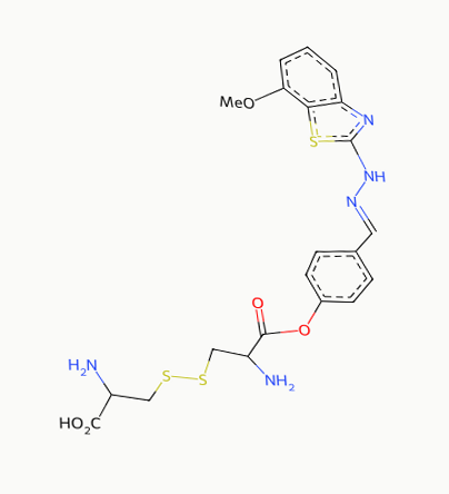 COc1cccc2nc(N/N=C/c3ccc(OC(=O)C(N)CSSCC(N)C(=O)O)cc3)sc12